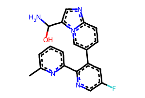 Cc1cccc(-c2ncc(F)cc2-c2ccc3ncc(C(N)O)n3c2)n1